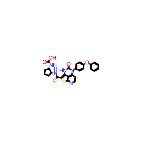 O=C(O)N[C@H]1CCC[C@H]1NC(=O)c1sc2nccc3c2c1NC(=O)N3c1ccc(Oc2ccccc2)cc1